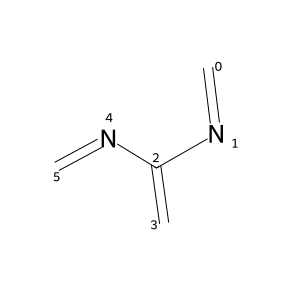 C=NC(=C)N=C